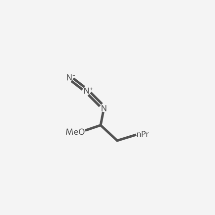 CCCCC(N=[N+]=[N-])OC